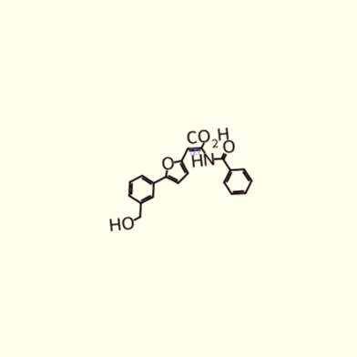 O=C(O)/C(=C/c1ccc(-c2cccc(CO)c2)o1)NC(=O)c1ccccc1